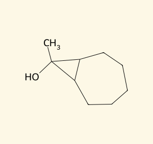 CC1(O)C2CCCCCC21